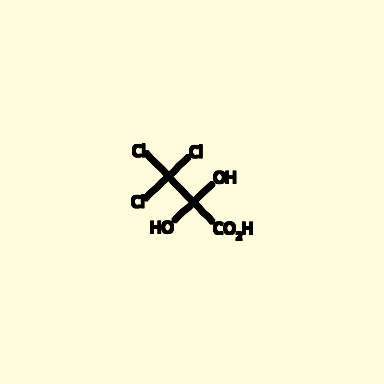 O=C(O)C(O)(O)C(Cl)(Cl)Cl